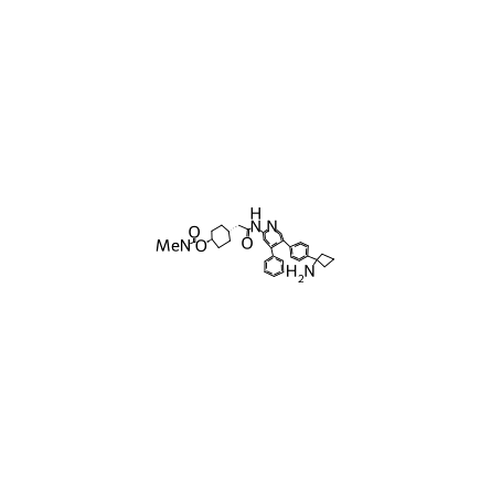 CNC(=O)O[C@H]1CC[C@H](CC(=O)Nc2cc(-c3ccccc3)c(-c3ccc(C4(N)CCC4)cc3)cn2)CC1